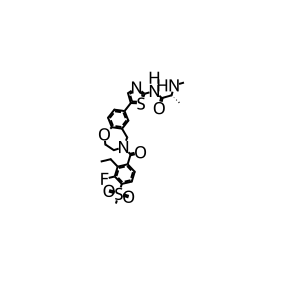 CCc1c(C(=O)N2CCOc3ccc(-c4cnc(NC(=O)[C@@H](C)NC)s4)cc3C2)ccc(S(C)(=O)=O)c1F